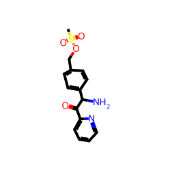 CS(=O)(=O)OCc1ccc(C(N)C(=O)c2ccccn2)cc1